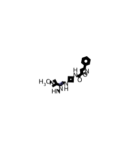 CN1CC(/C(=C/N[C@H]2C[C@H](NC(=O)c3cc(-c4ccccc4)no3)C2)N=N)C1